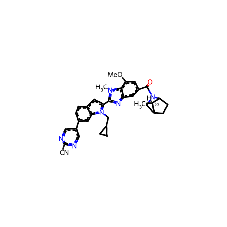 COc1cc(C(=O)N2CC3CCC2[C@@H]3C)cc2nc(-c3cc4ccc(-c5cnc(C#N)nc5)cc4n3CC3CC3)n(C)c12